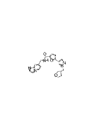 O=C(NCc1ccn2ccnc2c1)c1ccc(-c2cnn(CC3CCOC3)c2)o1